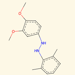 COc1ccc(NNc2c(C)cccc2C)cc1OC